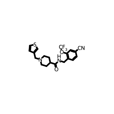 N#Cc1ccc(CNC(=O)C2CCN(Cc3ccsc3)CC2)c(OC(F)(F)F)c1